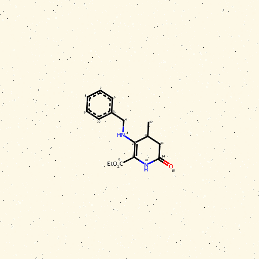 CCOC(=O)C1=C(NCc2ccccc2)C(C)CC(=O)N1